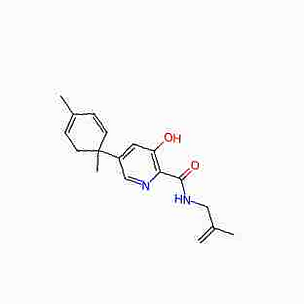 C=C(C)CNC(=O)c1ncc(C2(C)C=CC(C)=CC2)cc1O